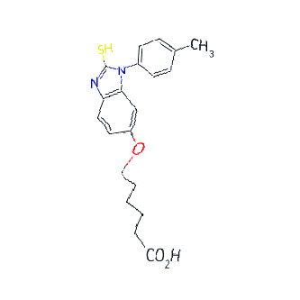 Cc1ccc(-n2c(S)nc3ccc(OCCCCCC(=O)O)cc32)cc1